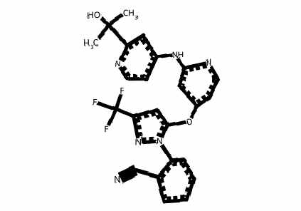 CC(C)(O)c1cc(Nc2cc(Oc3cc(C(F)(F)F)nn3-c3ccccc3C#N)ccn2)ccn1